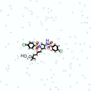 CC(C)(CCC=C[C@@H]1C[C@@H](NS(=O)(=O)c2ccc(Cl)cc2)CN1S(=O)(=O)c1ccc(Cl)cc1)C(=O)O